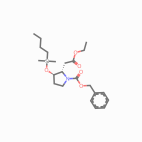 CCCC[Si](C)(C)O[C@@H]1CCN(C(=O)OCc2ccccc2)[C@H]1CC(=O)OCC